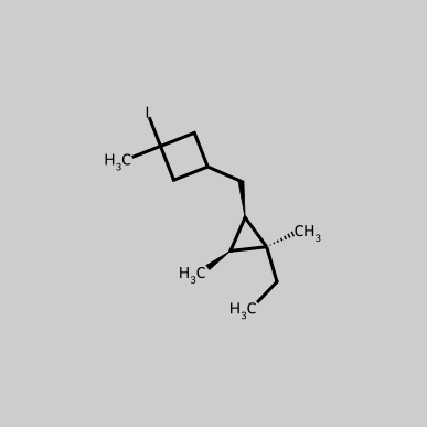 CC[C@]1(C)[C@H](CC2CC(C)(I)C2)[C@@H]1C